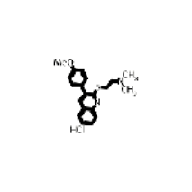 COc1ccc(-c2cc3ccccc3nc2SCCN(C)C)cc1.Cl